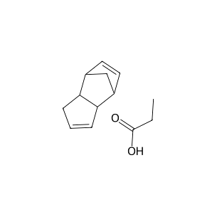 C1=CC2C3C=CC(C3)C2C1.CCC(=O)O